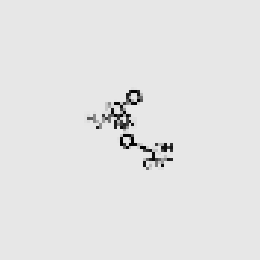 CCN(C)C(=O)C(O)C#Cc1cccc(-c2ncc3c(-c4ccccc4)cnc(N)c3n2)c1